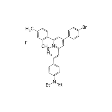 CCN(CC)c1ccc(/C=C/c2cc(-c3ccc(Br)cc3)cc(-c3ccc(C)cc3C)[n+]2C)cc1.[I-]